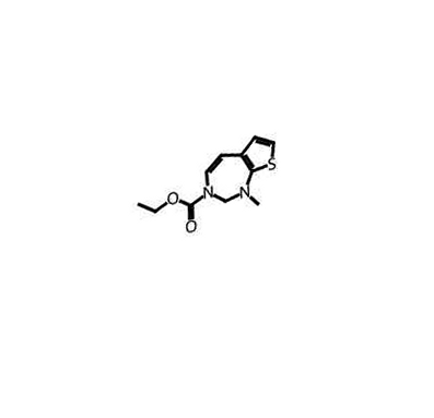 CCOC(=O)N1C=Cc2ccsc2N(C)C1